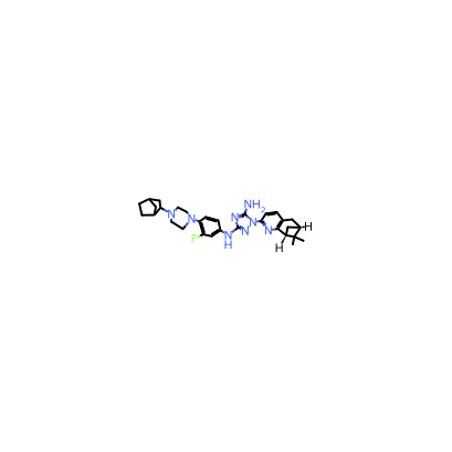 CC1(C)[C@H]2Cc3ccc(-n4nc(Nc5ccc(N6CCN(C7CC8CCC7C8)CC6)c(F)c5)nc4N)nc3[C@@H]1C2